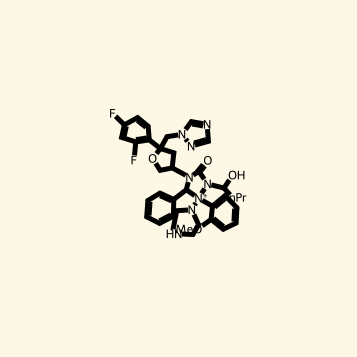 CCCC(O)N1C(=O)N(C2COC(Cn3cncn3)(c3ccc(F)cc3F)C2)C(c2ccccc2)[N+]1(c1ccccc1OC)N1CCNCC1